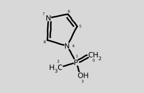 C=P(C)(O)n1ccnc1